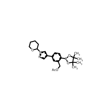 CC(=O)OCc1cc(-c2cnn(C3CCCCO3)c2)ccc1B1OC(C)(C)C(C)(C)O1